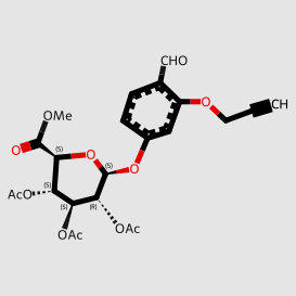 C#CCOc1cc(O[C@@H]2O[C@H](C(=O)OC)[C@@H](OC(C)=O)[C@H](OC(C)=O)[C@H]2OC(C)=O)ccc1C=O